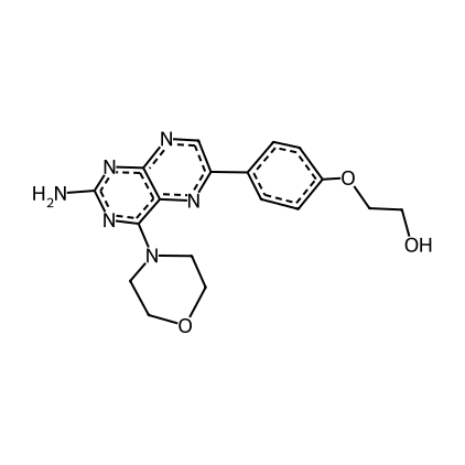 Nc1nc(N2CCOCC2)c2nc(-c3ccc(OCCO)cc3)cnc2n1